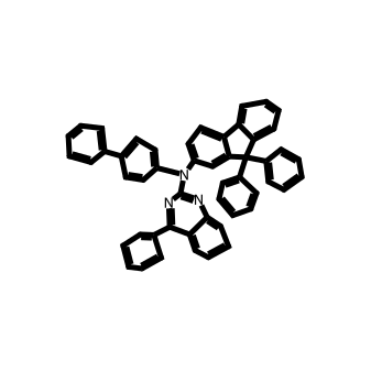 c1ccc(-c2ccc(N(c3ccc4c(c3)C(c3ccccc3)(c3ccccc3)c3ccccc3-4)c3nc(-c4ccccc4)c4ccccc4n3)cc2)cc1